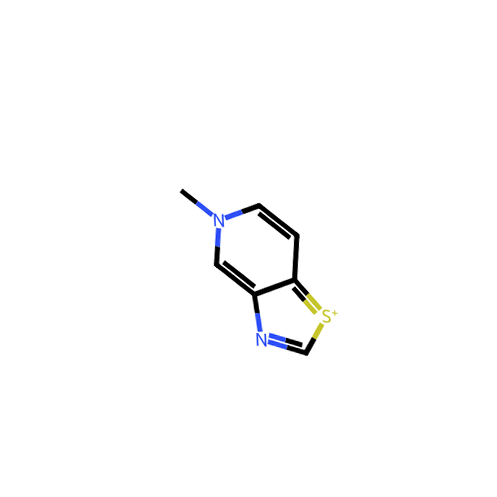 Cn1ccc2[s+]cnc-2c1